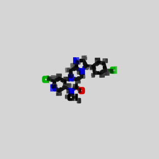 CN(C(=O)c1cn2c(-c3ccc(Cl)cc3)cnc2cn1)c1ccc(Cl)nc1